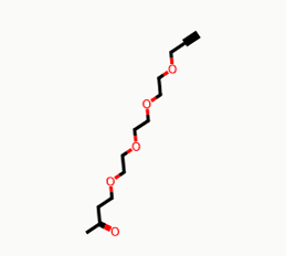 C#CCOCCOCCOCCOCCC(C)=O